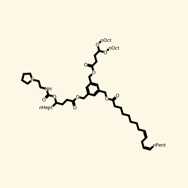 CCCCC/C=C\C/C=C\CCCCCCCC(=O)OCc1cc(COC(=O)CCC(CCCCCCC)OC(=O)NCCN2CCCC2)cc(COC(=O)CCC(OCCCCCCCC)OCCCCCCCC)c1